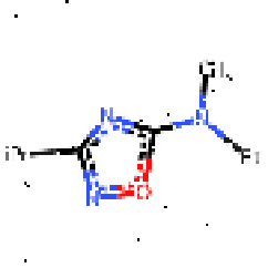 CCN(C)c1nc(C(C)C)no1